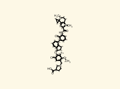 COc1c(CN2CCC(C(=O)O)C2)cc(Cl)c(OC2CCc3c(-c4cccc(NC(=O)c5nc6c(n5C)CCN(C)C65CC5)c4Cl)cccc32)c1F